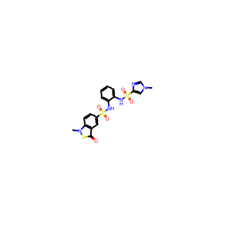 Cn1cnc(S(=O)(=O)Nc2ccccc2NS(=O)(=O)c2ccc3c(c2)c(=O)sn3C)c1